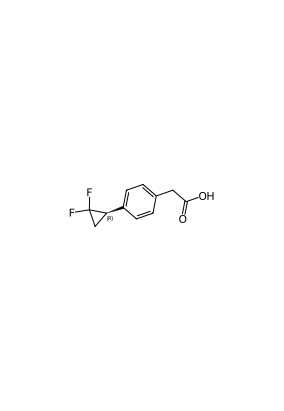 O=C(O)Cc1ccc([C@H]2CC2(F)F)cc1